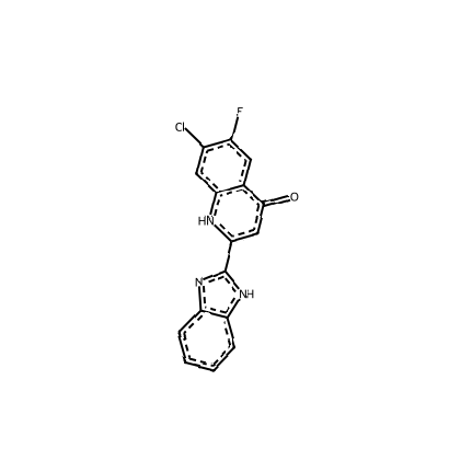 O=c1cc(-c2nc3ccccc3[nH]2)[nH]c2cc(Cl)c(F)cc12